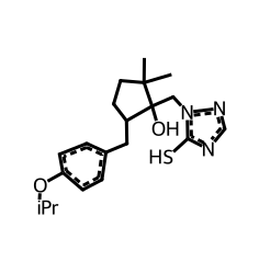 CC(C)Oc1ccc(CC2CCC(C)(C)C2(O)Cn2ncnc2S)cc1